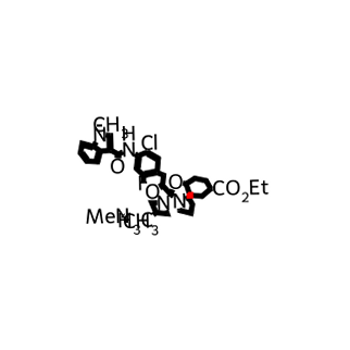 CCOC(=O)C1CCC(OC(C(=O)Cc2cc(Cl)c(NC(=O)c3cn(C)c4ccccc34)cc2F)(N2CCCC2)N2CC(C)C2)CC1.CNC